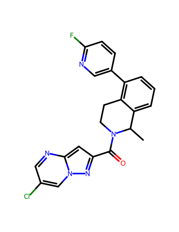 CC1c2cccc(-c3ccc(F)nc3)c2CCN1C(=O)c1cc2ncc(Cl)cn2n1